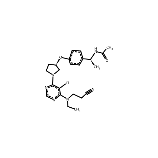 CCN(CCC#N)c1ncnc(N2CC[C@@H](Oc3ccc([C@H](C)NC(C)=O)cc3)C2)c1Cl